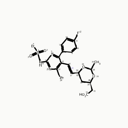 CCS(=O)(=O)Nc1nc(-c2ccc(F)cc2)c(/C=C/[C@@H]2C[C@H](CC(=O)O)OC(C)O2)c(C(C)C)n1